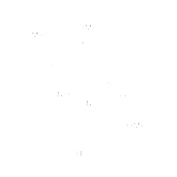 COC(=O)[C@@H]1C[C@H](O)CCN1C(=O)c1cc(OC)c(OC)cc1[N+](=O)[O-]